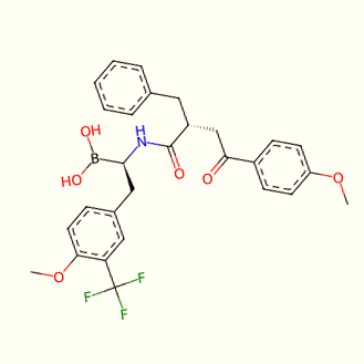 COc1ccc(C(=O)C[C@@H](Cc2ccccc2)C(=O)N[C@@H](Cc2ccc(OC)c(C(F)(F)F)c2)B(O)O)cc1